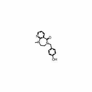 CN1CCN(Cc2ccc(O)cc2)C(=O)c2cccnc21